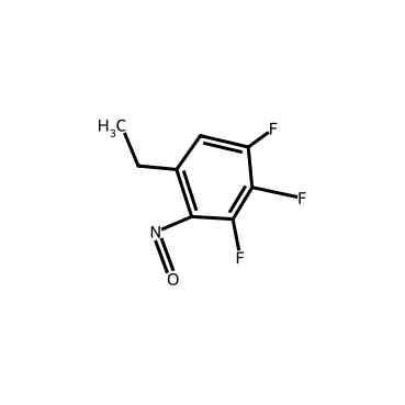 CCc1cc(F)c(F)c(F)c1N=O